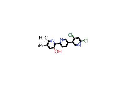 Cc1nc(-c2ccc(-c3cnc(Cl)cc3Cl)cn2)c(O)cc1C(C)C